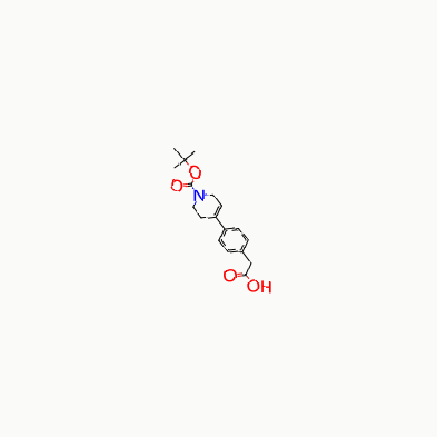 CC(C)(C)OC(=O)N1CC=C(c2ccc(CC(=O)O)cc2)CC1